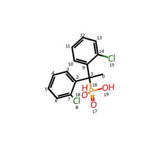 CC(c1ccccc1Cl)(c1ccccc1Cl)P(=O)(O)O